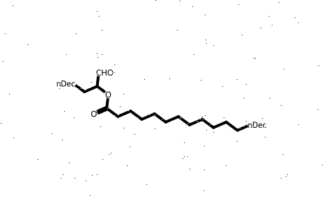 CCCCCCCCCCCCCCCCCCCCCC(=O)OC([C]=O)CCCCCCCCCCC